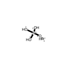 O[N+](O)(O)O.[Br-]